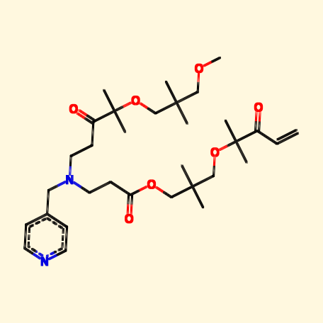 C=CC(=O)C(C)(C)OCC(C)(C)COC(=O)CCN(CCC(=O)C(C)(C)OCC(C)(C)COC)Cc1ccncc1